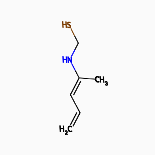 C=C/C=C(\C)NCS